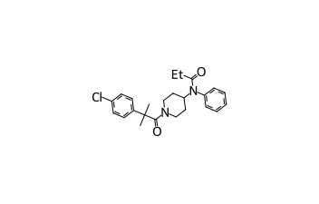 CCC(=O)N(c1ccccc1)C1CCN(C(=O)C(C)(C)c2ccc(Cl)cc2)CC1